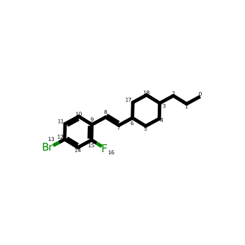 CCCC1CCC(C=Cc2ccc(Br)cc2F)CC1